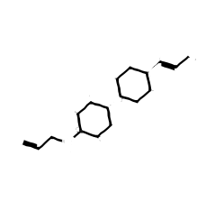 C=CCOC1CCC([C@H]2CC[C@H](/C=C/C)CC2)CC1